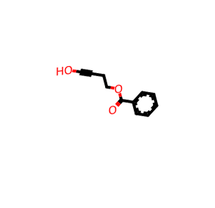 O=C(OCCC#CO)c1ccccc1